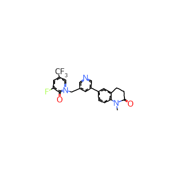 CN1C(=O)CCc2cc(-c3cncc(Cn4cc(C(F)(F)F)cc(F)c4=O)c3)ccc21